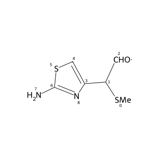 CSC([C]=O)c1csc(N)n1